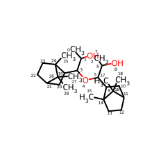 CC(O)C(OC(C(C)O)C1CC2CCC1(C)C2(C)C)C1CC2CCC1(C)C2(C)C